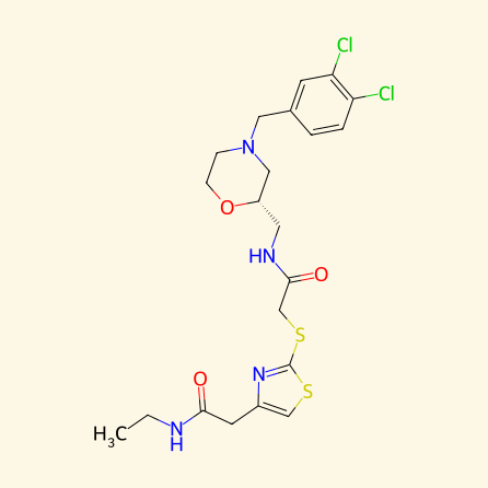 CCNC(=O)Cc1csc(SCC(=O)NC[C@H]2CN(Cc3ccc(Cl)c(Cl)c3)CCO2)n1